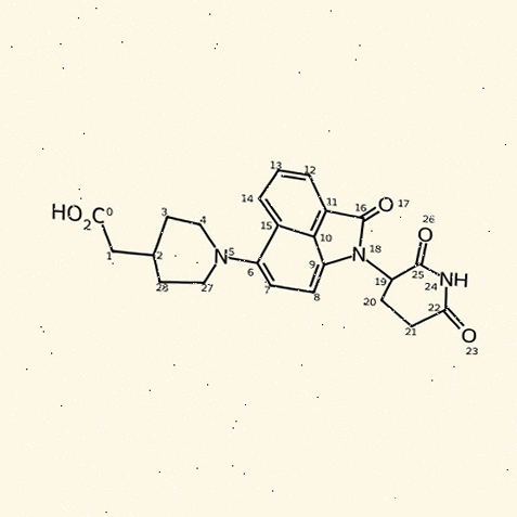 O=C(O)CC1CCN(c2ccc3c4c(cccc24)C(=O)N3C2CCC(=O)NC2=O)CC1